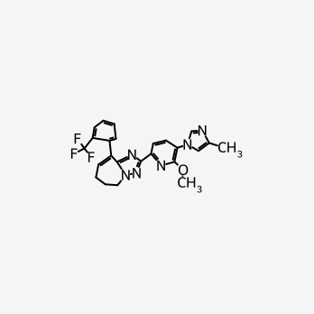 COc1nc(-c2nc3n(n2)CCCC=C3c2ccccc2C(F)(F)F)ccc1-n1cnc(C)c1